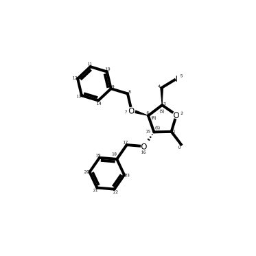 CC1O[C@H](CI)[C@H](OCc2ccccc2)[C@H]1OCc1ccccc1